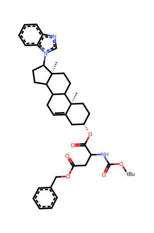 CC(C)(C)OC(=O)NC(CC(=O)OCc1ccccc1)C(=O)O[C@H]1CC[C@@]2(C)C(=CCC3C4CCC(n5cnc6ccccc65)[C@@]4(C)CCC32)C1